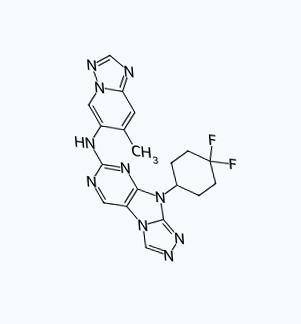 Cc1cc2ncnn2cc1Nc1ncc2c(n1)n(C1CCC(F)(F)CC1)c1nncn21